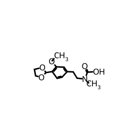 COc1cc(CCN(C)C(=O)O)ccc1C1OCCO1